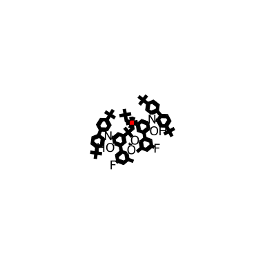 Cc1cc(F)cc(-c2cc(C(C)(C)CC(C)(C)C)cc(-n3c4cc(C(C)(C)C)ccc4c4ccc(C(C)(C)C)cc43)c2O)c1OCOc1c(C)cc(F)cc1-c1cc(C(C)(C)CC(C)(C)C)cc(-n2c3cc(C(C)(C)C)ccc3c3ccc(C(C)(C)C)cc32)c1O